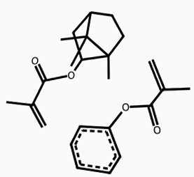 C=C(C)C(=O)OC1CC2CCC1(C)C2(C)C.C=C(C)C(=O)Oc1ccccc1